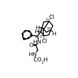 O=C(O)NCC(=O)N[C@@H](c1ccccc1)[C@H]1[C@H]2C[C@@H]3C[C@](Cl)(C2)C[C@@]1(Cl)C3